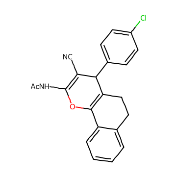 CC(=O)NC1=C(C#N)C(c2ccc(Cl)cc2)C2=C(O1)c1ccccc1CC2